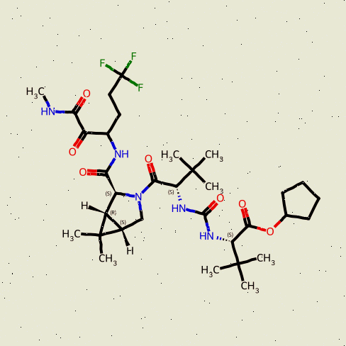 CNC(=O)C(=O)C(CCC(F)(F)F)NC(=O)[C@@H]1[C@@H]2[C@H](CN1C(=O)[C@@H](NC(=O)N[C@H](C(=O)OC1CCCC1)C(C)(C)C)C(C)(C)C)C2(C)C